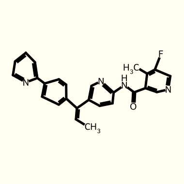 C/C=C(/c1ccc(-c2ccccn2)cc1)c1ccc(NC(=O)c2cncc(F)c2C)nc1